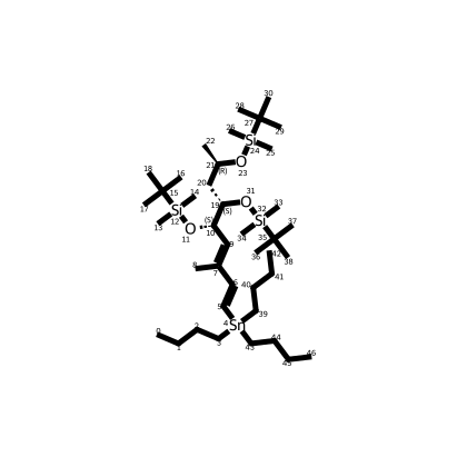 CCC[CH2][Sn]([CH]=CC(C)=C[C@H](O[Si](C)(C)C(C)(C)C)[C@H](C[C@@H](C)O[Si](C)(C)C(C)(C)C)O[Si](C)(C)C(C)(C)C)([CH2]CCC)[CH2]CCC